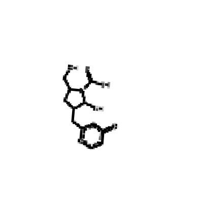 O=c1ccoc(CC2CC(CO)N(C(=S)S)C2O)c1